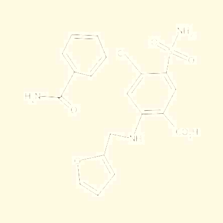 NC(=O)c1ccccc1.NS(=O)(=O)c1cc(C(=O)O)c(NCc2ccco2)cc1Cl